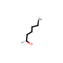 CCCCCCCC[C@@H](C)O